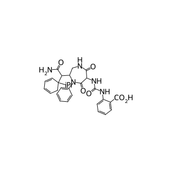 CC(C)C1(C(C(N)=O)C2CNC(=O)C(NC(=O)Nc3ccccc3C(=O)O)C(=O)N2c2ccccc2)C=CC=CC1